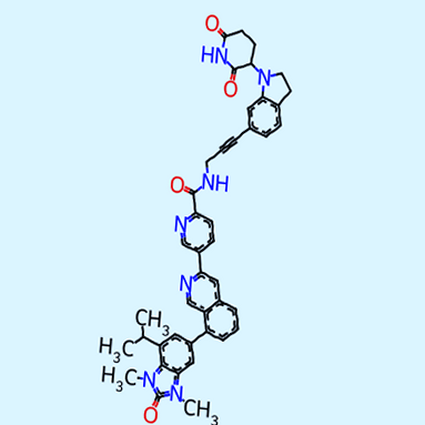 CC(C)c1cc(-c2cccc3cc(-c4ccc(C(=O)NCC#Cc5ccc6c(c5)N(C5CCC(=O)NC5=O)CC6)nc4)ncc23)cc2c1n(C)c(=O)n2C